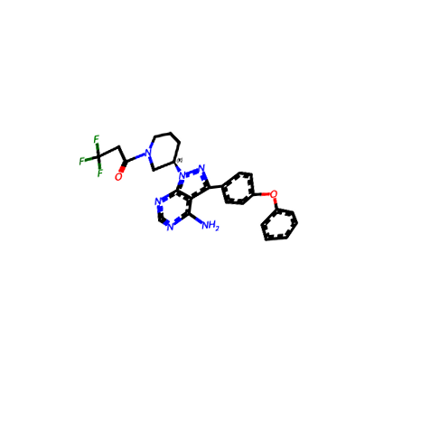 Nc1ncnc2c1c(-c1ccc(Oc3ccccc3)cc1)nn2[C@@H]1CCCN(C(=O)CC(F)(F)F)C1